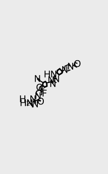 CC(=N)/N=C(\N)C(=O)N1CCC(Oc2ccc(-c3ncnc(Nc4ccc(N5CCN(C6COC6)CC5)cc4)n3)cc2C#N)C(F)(F)C1